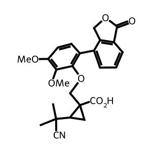 COc1ccc(-c2cccc3c2COC3=O)c(OCC2(C(=O)O)CC2C(C)(C)C#N)c1OC